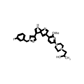 COc1nc(N2CCN(CC(C)O)CC2)ccc1-c1cnc2[nH]cc(-c3cnn(Cc4cccc(F)c4)c3)c2c1